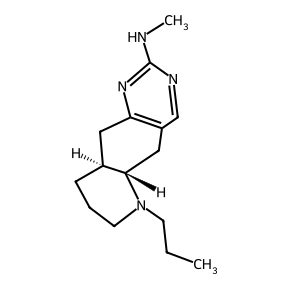 CCCN1CCC[C@H]2Cc3nc(NC)ncc3C[C@@H]21